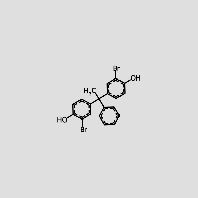 CC(c1ccccc1)(c1ccc(O)c(Br)c1)c1ccc(O)c(Br)c1